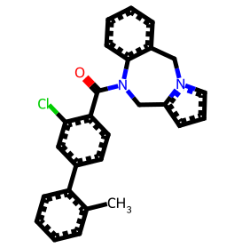 Cc1ccccc1-c1ccc(C(=O)N2Cc3cccn3Cc3ccccc32)c(Cl)c1